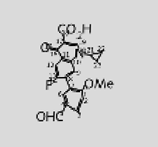 COc1ccc(C=O)cc1-c1cc2c(cc1F)c(=O)c(C(=O)O)cn2C1CC1